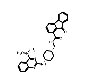 CN(C)c1nc(N[C@H]2CC[C@@H](CNC(=O)c3cccc4c3C(=O)c3ccccc3-4)CC2)nc2ccccc12